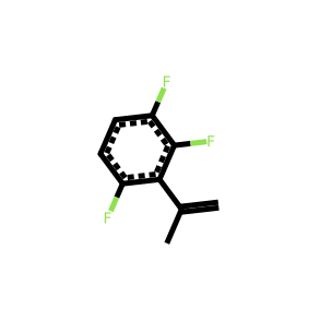 C=C(C)c1c(F)ccc(F)c1F